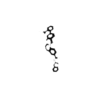 Cc1cc(-c2ccccc2C(=O)O)ccc1CN1CCCc2cc(C(=O)NC3COc4ccccc4C3)ccc21